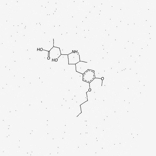 CCCCCOc1cc(CC(CC(N)C(O)CC(C)C(=O)O)C(C)C)ccc1OC